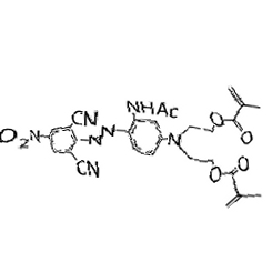 C=C(C)C(=O)OCCN(CCOC(=O)C(=C)C)c1ccc(/N=N/c2c(C#N)cc([N+](=O)[O-])cc2C#N)c(NC(C)=O)c1